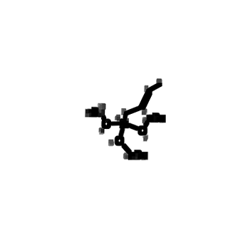 CC=CC[Si](OCCCC)(OCCCC)OCCCC